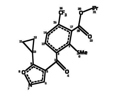 CSc1c(C(=O)c2cnoc2C2CC2)ccc(C(F)(F)F)c1C(=O)OC(C)C